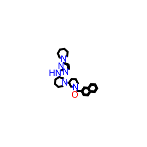 O=C(c1ccc2ccccc2c1)N1CCCC(N2CCCCC(Nc3nccc(N4CCCCCC4)n3)C2)C1